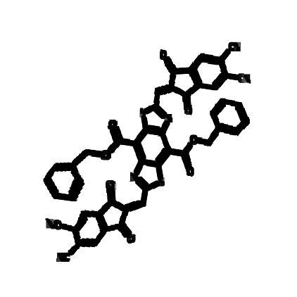 N#Cc1cc2c(cc1C#N)C(=O)C(=Cc1nc3c(C(=O)OCc4ccccc4)c4sc(C=C5C(=O)c6cc(C#N)c(C#N)cc6C5=O)nc4c(C(=O)OCc4ccccc4)c3s1)C2=O